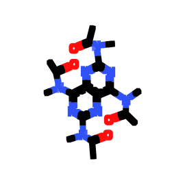 CC(=O)N(C)c1nc(N(C)C(C)=O)c2nc(N(C)C(C)=O)nc(N(C)C(C)=O)c2n1